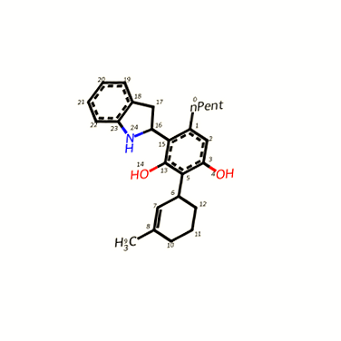 CCCCCc1cc(O)c(C2C=C(C)CCC2)c(O)c1C1Cc2ccccc2N1